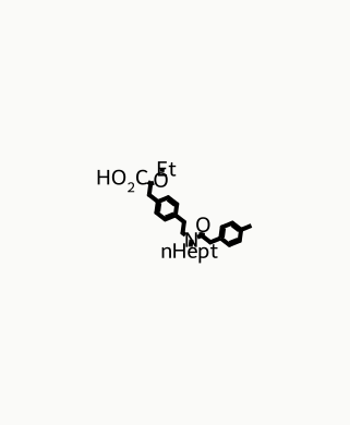 CCCCCCCN(CCc1ccc(CC(OCC)C(=O)O)cc1)C(=O)Cc1ccc(C)cc1